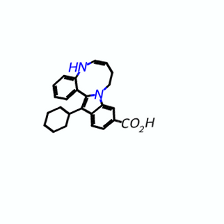 O=C(O)c1ccc2c(C3CCCCC3)c3n(c2c1)CC/C=C\Nc1ccccc1-3